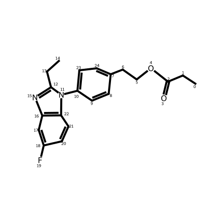 CCC(=O)OCCc1ccc(-n2c(CC)nc3cc(F)ccc32)cc1